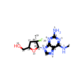 CNc1nc(N)nc2c1ncn2[C@@H]1OC(CO)C[C@@]1(C)F